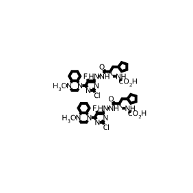 CN1CCN(c2nc(Cl)nc(NNC(=O)[C@@H](CNC(=O)O)CC3CCCC3)c2F)C2CCCCC21.CN1CCN(c2nc(Cl)nc(NNC(=O)[C@@H](CNC(=O)O)CC3CCCC3)c2F)C2CCCCC21